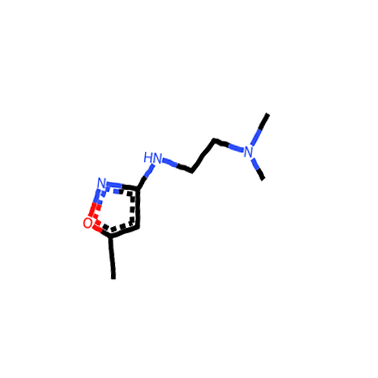 Cc1cc(NCCN(C)C)no1